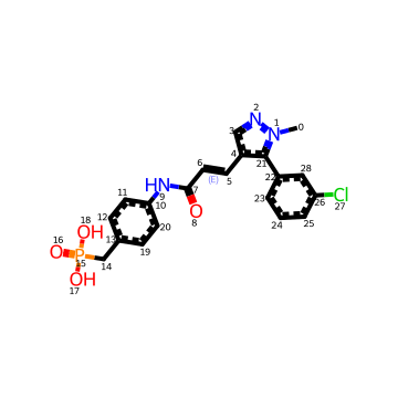 Cn1ncc(/C=C/C(=O)Nc2ccc(CP(=O)(O)O)cc2)c1-c1cccc(Cl)c1